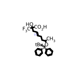 CC(CC/C=C/CC(O)(C(=O)O)C(F)(F)F)O[Si](c1ccccc1)(c1ccccc1)C(C)(C)C